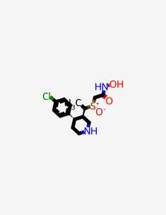 CC([C@H]1CNCC[C@@H]1c1ccc(Cl)cc1)[S+]([O-])CC(=O)NO